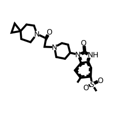 Cc1cc2c(cc1S(C)(=O)=O)[nH]c(=O)n2C1CCN(CC(=O)N2CCC3(CC2)CC3)CC1